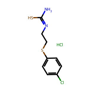 Cl.NC(S)=NCCSc1ccc(Cl)cc1